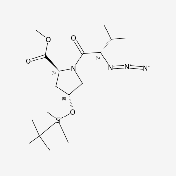 COC(=O)[C@@H]1C[C@@H](O[Si](C)(C)C(C)(C)C)CN1C(=O)[C@@H](N=[N+]=[N-])C(C)C